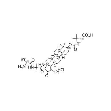 CC(C)C1=C2[C@H]3CC[C@@H]4[C@@]5(C)CC[C@H](OC(=O)[C@H]6C[C@@H](C(=O)O)C6(C)C)C(C)(C)[C@@H]5CC[C@@]4(C)[C@]3(C)CC[C@@]2(NC(=O)C(C)(C)NC(=O)[C@@H](N)C(C)C)CC1=O.Cl